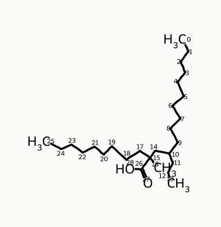 CCCCCCCCCCC(CCC)CC(C)(CCCCCCCCC)C(=O)O